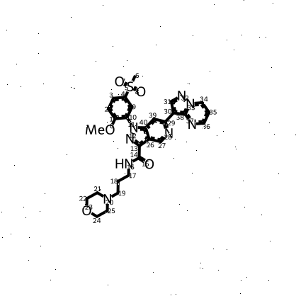 COc1ccc(S(C)(=O)=O)cc1-n1nc(C(=O)NCCCN2CCOCC2)c2cnc(-c3cnn4cccnc34)cc21